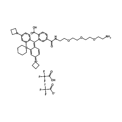 NCCOCCOCCOCCNC(=O)c1ccc(C(=O)O)c(C2=C3C=CC(=[N+]4CCC4)C=C3[Si]3(CCCCC3)c3cc(N4CCC4)ccc32)c1.O=C(O)C(F)(F)F.O=C([O-])C(F)(F)F